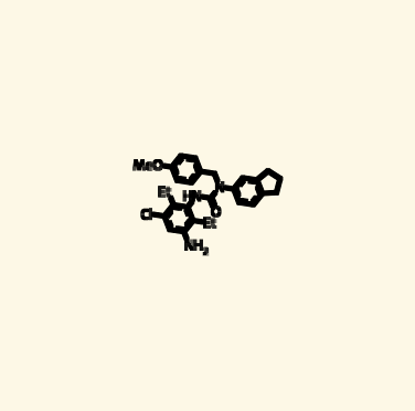 CCc1c(N)cc(Cl)c(CC)c1NC(=O)N(Cc1ccc(OC)cc1)c1ccc2c(c1)CCC2